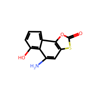 Nc1cc2sc(=O)oc2c2cccc(O)c12